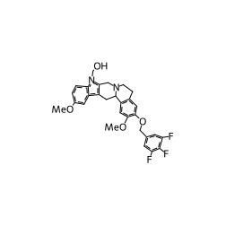 COc1ccc2c(c1)c1c(n2CO)CN2CCc3cc(OCc4cc(F)c(F)c(F)c4)c(OC)cc3C2C1